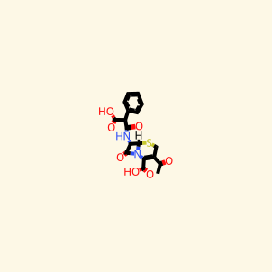 CC(=O)C1=C(C(=O)O)N2C(=O)C(NC(=O)C(C(=O)O)c3ccccc3)[C@@H]2SC1